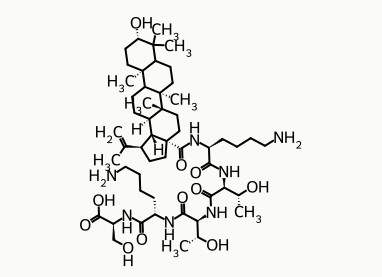 C=C(C)[C@@H]1CC[C@]2(C(=O)N[C@@H](CCCCN)C(=O)N[C@H](C(=O)N[C@H](C(=O)N[C@@H](CCCCN)C(=O)N[C@@H](CO)C(=O)O)[C@@H](C)O)[C@@H](C)O)CC[C@]3(C)[C@H](CCC4[C@@]5(C)CC[C@H](O)C(C)(C)C5CC[C@]43C)[C@@H]12